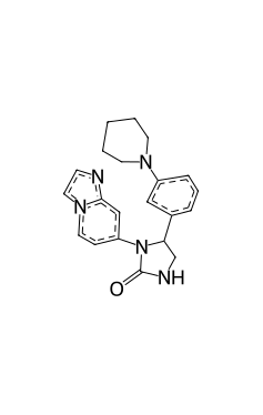 O=C1NCC(c2cccc(N3CCCCC3)c2)N1c1ccn2ccnc2c1